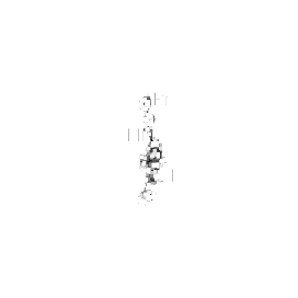 CCCOCCOCCN[C@@H]1CCC2=CC3=CC[C@]4(C)[C@@H](c5ccc6ccccc6c5)CC[C@H]4[C@@]34CC[C@]2(C1)O4